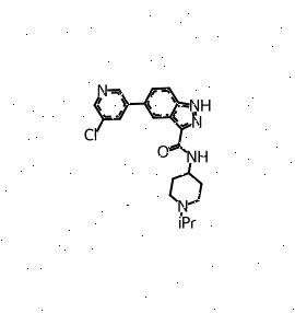 CC(C)N1CCC(NC(=O)c2n[nH]c3ccc(-c4cncc(Cl)c4)cc23)CC1